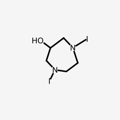 OC1CN(I)CCN(I)C1